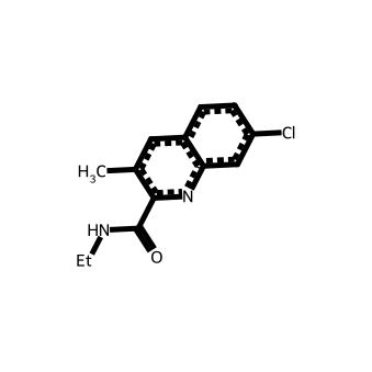 CCNC(=O)c1nc2cc(Cl)ccc2cc1C